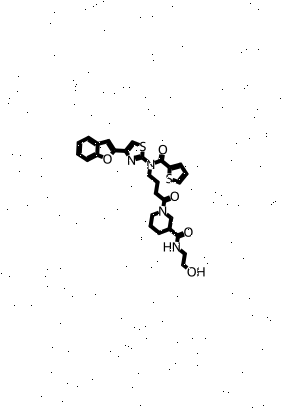 O=C(NCCO)C1CCCN(C(=O)CCCN(C(=O)c2cccs2)c2nc(-c3cc4ccccc4o3)cs2)C1